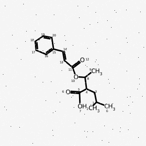 CC(C)CC(C(=O)O)C(C)OC(=O)/C=C/c1ccccc1